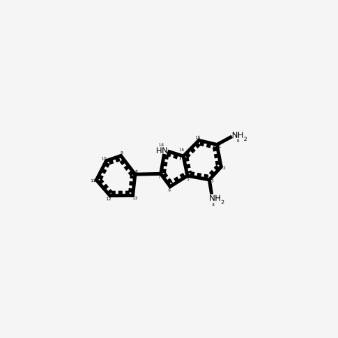 Nc1cc(N)c2cc(-c3ccccc3)[nH]c2c1